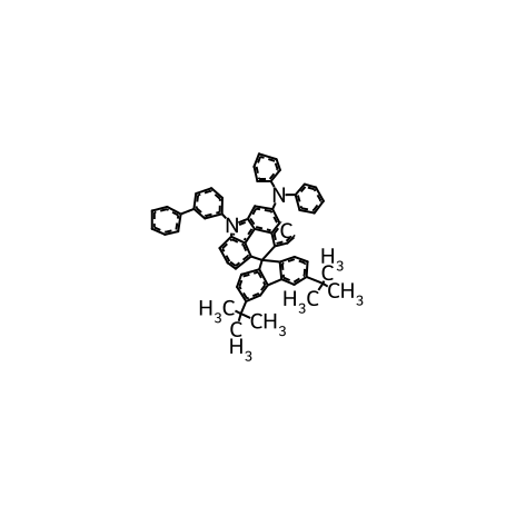 CC(C)(C)c1ccc2c(c1)-c1cc(C(C)(C)C)ccc1C21c2cccc3c(N(c4ccccc4)c4ccccc4)cc4c(c23)c2c1cccc2n4-c1cccc(-c2ccccc2)c1